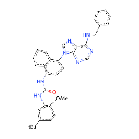 COc1ccc(C(C)(C)C)cc1NC(=O)Nc1ccc(-n2cnc3c(NCc4ccccc4)ncnc32)c2ccccc12